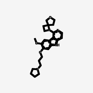 COc1cc2c(cc1OCCCN1CCCC1)[nH]c1ccnc(N3CCC34CCOC4)c12